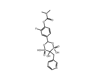 CN(C)C(=O)Oc1ccc(C2OP(=O)(O)C(O)(Cc3cccnc3)P(=O)(O)O2)cc1F